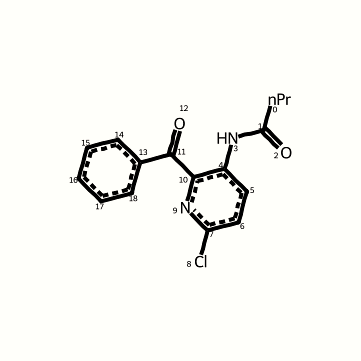 CCCC(=O)Nc1ccc(Cl)nc1C(=O)c1ccccc1